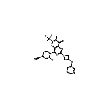 Cn1c(C(F)(F)F)nc2c(-c3ccc(C#N)cc3F)nc(N3CC(Oc4cncnc4)C3)nc2c1=O